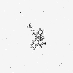 CN(C)CCCN(C)C(=O)c1ccccc1S(=O)(=O)Nc1ccc2ccccc2c1C(=O)O